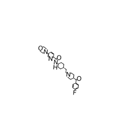 O=C(N[C@H]1CC[C@H](CCN2CCC(C(=O)c3ccc(F)cc3)CC2)CC1)c1ccc(N2CCOCC2)cn1